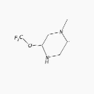 CN1[CH]CNC(OC(F)(F)F)C1